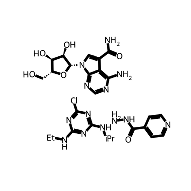 CCNc1nc(Cl)nc(NC(C)C)n1.NC(=O)c1cn([C@@H]2O[C@H](CO)[C@@H](O)[C@H]2O)c2ncnc(N)c12.NNC(=O)c1ccncc1